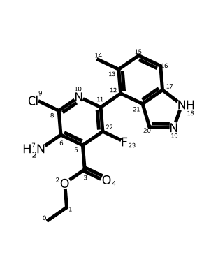 CCOC(=O)c1c(N)c(Cl)nc(-c2c(C)ccc3[nH]ncc23)c1F